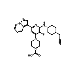 N#CC[C@H]1CC[C@H](Nc2nc(-c3cnn4ccccc34)nc(N3CCN(C(=O)O)CC3)c2F)CC1